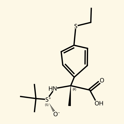 CCSc1ccc([C@@](C)(N[S@+]([O-])C(C)(C)C)C(=O)O)cc1